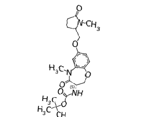 CN1C(=O)[C@@H](NC(=O)OC(C)(C)C)COc2ccc(OCC3CCC(=O)N3C)cc21